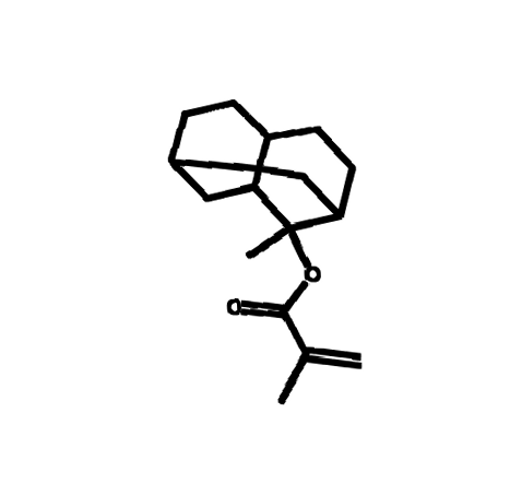 C=C(C)C(=O)OC1(C)C2CCC3CCC(C2)CC31